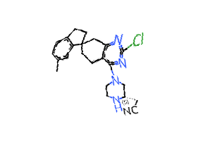 Cc1ccc2c(c1)C1(CC2)CCc2c(nc(Cl)nc2N2CCN[C@@H](CC#N)C2)C1